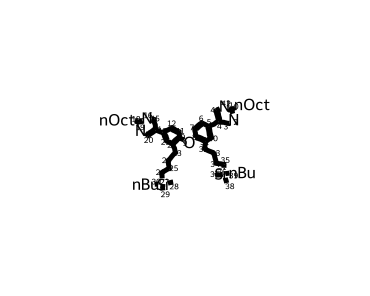 CCCCCCCCc1ncc(-c2ccc(Oc3ccc(-c4cnc(CCCCCCCC)nc4)cc3CCCC[Si](C)(C)CCCC)c(CCCC[Si](C)(C)CCCC)c2)cn1